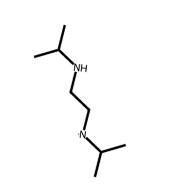 CC(C)[N]CCNC(C)C